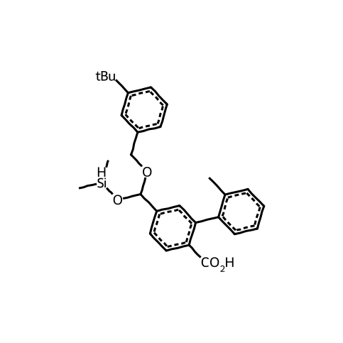 Cc1ccccc1-c1cc(C(OCc2cccc(C(C)(C)C)c2)O[SiH](C)C)ccc1C(=O)O